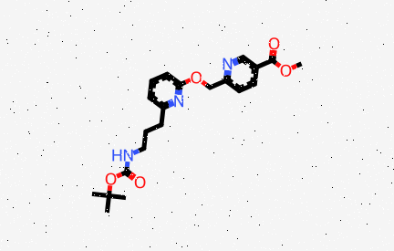 COC(=O)c1ccc(COc2cccc(CCCNC(=O)OC(C)(C)C)n2)nc1